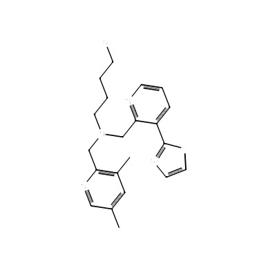 Cc1cnc(CN(CCCCN)Cc2ncccc2-c2nccs2)c(C)c1